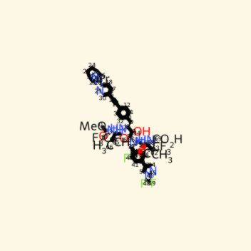 COC(=O)N[C@H](C(=O)N[C@@H](Cc1ccc(C#Cc2ccc(N3CC4CCC(C3)N4C(C)C)nc2)cc1)[C@@H](O)CN(Cc1c(F)cc(-c2cnn(C(F)F)c2)cc1F)NC(=O)[C@@H](NC(=O)O)C(C)(C)C(F)(F)F)C(C)(C)C(F)(F)F